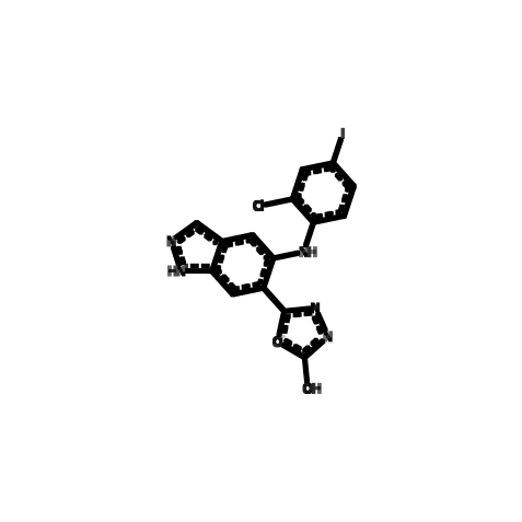 Oc1nnc(-c2cc3[nH]ncc3cc2Nc2ccc(I)cc2Cl)o1